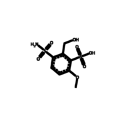 COc1ccc(S(N)(=O)=O)c(CO)c1S(=O)(=O)O